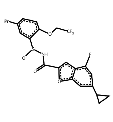 CC(C)c1ccc(OCC(F)(F)F)c([S+]([O-])NC(=O)c2cc3c(F)cc(C4CC4)cc3o2)c1